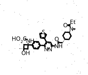 CCC(=O)N(C)[C@H]1CC[C@H](CC(=O)Nc2cc(-c3ccsc3)c(-c3ccc([C@]4(NC(=O)O)C[C@@](C)(O)C4)cc3)nn2)CC1